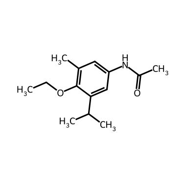 CCOc1c(C)cc(NC(C)=O)cc1C(C)C